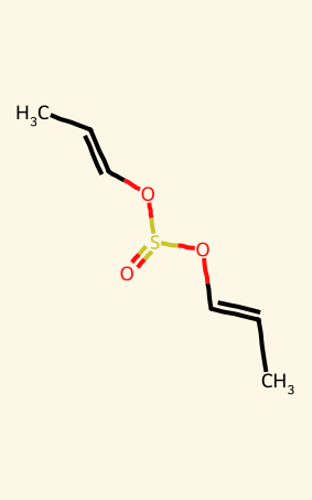 CC=COS(=O)OC=CC